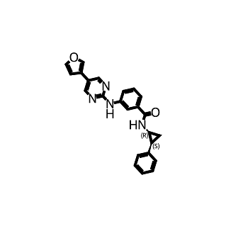 O=C(N[C@@H]1C[C@H]1c1ccccc1)c1cccc(Nc2ncc(-c3ccoc3)cn2)c1